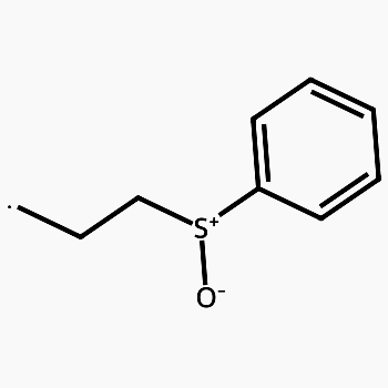 [CH2]CC[S+]([O-])c1ccccc1